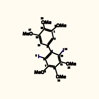 COc1cc(-c2c(I)c(OC)c(OC)c(OC)c2I)cc(OC)c1OC